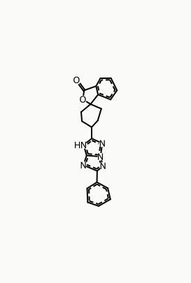 O=C1OC2(CCC(c3nn4nc(-c5ccccc5)nc4[nH]3)CC2)c2ccccc21